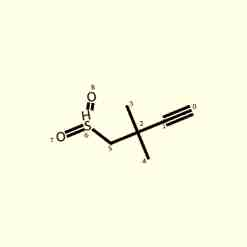 C#CC(C)(C)C[SH](=O)=O